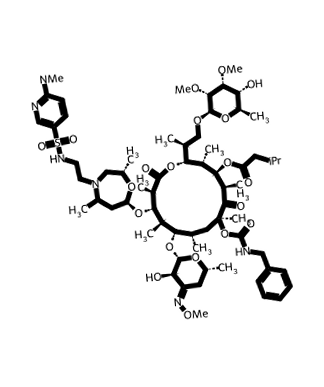 CNc1ccc(S(=O)(=O)NCCN2C[C@H](C)O[C@@H](O[C@H]3[C@H](C)[C@@H](O[C@@H]4O[C@H](C)CC(=NOC)[C@H]4O)[C@@H](C)C[C@](C)(OC(=O)NCc4ccccc4)C(=O)[C@H](C)[C@H](OC(=O)CC(C)C)[C@@H](C)[C@@H]([C@@H](C)CO[C@@H]4O[C@H](C)[C@@H](O)[C@@H](OC)[C@H]4OC)OC(=O)[C@@H]3C)CC2C)cn1